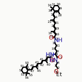 CCOCCCNC(=O)C(CCCCNC(=O)/C=C(C)/C=C/C=C(C)/C=C/C1=C(C)CCCC1(C)C)NC(=O)/C=C(C)/C=C/C=C(C)/C=C/C1=C(C)CCCC1(C)C